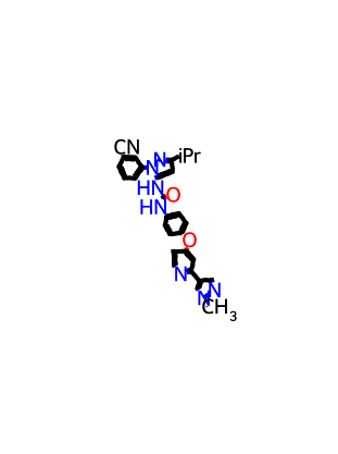 CC(C)c1cc(NC(=O)Nc2ccc(Oc3ccnc(-c4cnn(C)c4)c3)cc2)n(-c2cccc(C#N)c2)n1